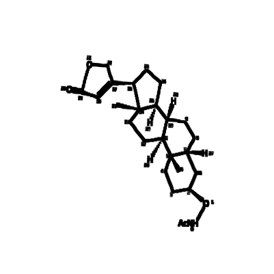 CC(=O)NO[C@H]1CC[C@@]2(C)[C@H](CC[C@@H]3[C@@H]2CC[C@]2(C)[C@@H](C4=CC(=O)OC4)CC[C@@H]32)C1